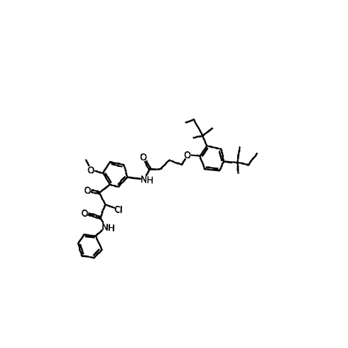 CCC(C)(C)c1ccc(OCCCC(=O)Nc2ccc(OC)c(C(=O)C(Cl)C(=O)Nc3ccccc3)c2)c(C(C)(C)CC)c1